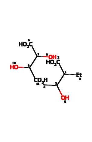 CCC(C(=O)O)C(C)O.O=C(O)C(O)C(O)C(=O)O